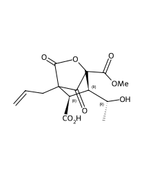 C=CCC12C(=O)OC(C(=O)OC)(C1=O)[C@@H]([C@@H](C)O)[C@H]2C(=O)O